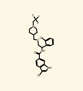 O=C(NC(COCC1CCN(CC(F)(F)F)CC1)c1ccccc1Cl)c1ccc2c(Cl)c[nH]c2c1